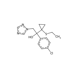 CCSC1(C(O)(Cn2cncn2)c2ccc(Cl)cc2)CC1